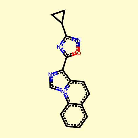 c1ccc2c(c1)ccc1c(-c3nc(C4CC4)no3)ncn12